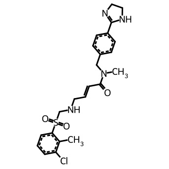 Cc1c(Cl)cccc1S(=O)(=O)CNCC=CC(=O)N(C)Cc1ccc(C2=NCCN2)cc1